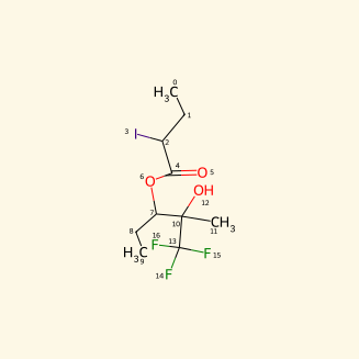 CCC(I)C(=O)OC(CC)C(C)(O)C(F)(F)F